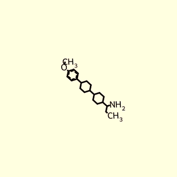 CCC(N)C1CCC(C2CCC(c3ccc(OC)cc3)CC2)CC1